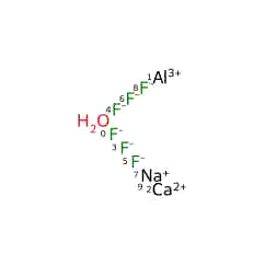 O.[Al+3].[Ca+2].[F-].[F-].[F-].[F-].[F-].[F-].[Na+]